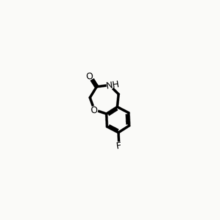 O=C1COc2cc(F)ccc2CN1